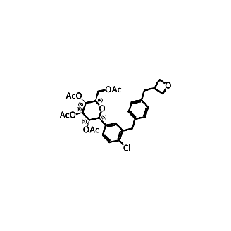 CC(=O)OC[C@H]1O[C@@H](c2ccc(Cl)c(Cc3ccc(CC4COC4)cc3)c2)[C@H](OC(C)=O)[C@@H](OC(C)=O)[C@@H]1OC(C)=O